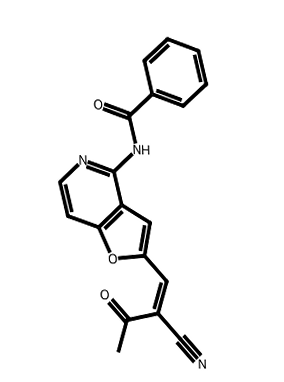 CC(=O)C(C#N)=Cc1cc2c(NC(=O)c3ccccc3)nccc2o1